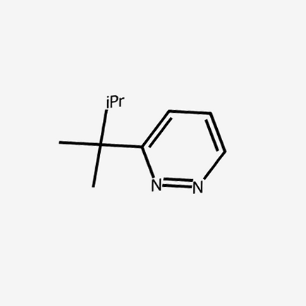 CC(C)C(C)(C)c1cccnn1